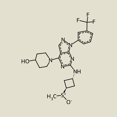 C[S+]([O-])[C@H]1C[C@H](Nc2nc(N3CCC(O)CC3)c3cnn(-c4cccc(C(F)(F)F)c4)c3n2)C1